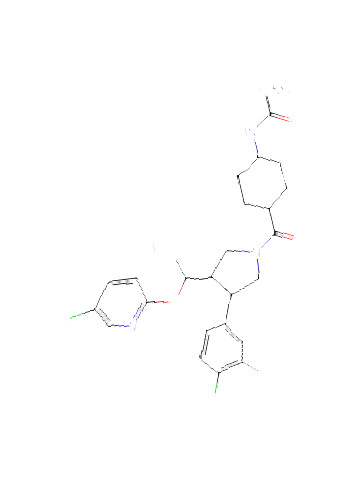 COC(=O)NC1CCC(C(=O)N2CC(c3ccc(Cl)c(Cl)c3)C(C(C)Oc3ccc(Cl)cn3)C2)CC1